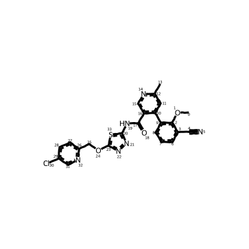 COc1c(C#N)cccc1-c1cc(C)ncc1C(=O)Nc1nnc(OCc2ccc(Cl)cn2)s1